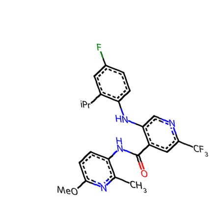 COc1ccc(NC(=O)c2cc(C(F)(F)F)ncc2Nc2ccc(F)cc2C(C)C)c(C)n1